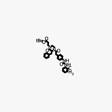 Cc1ccccc1NC(=O)Nc1ccc(CC(=O)N2CCN(CCC(=O)OC(C)(C)C)C(=O)C2Cc2ccccc2)cc1